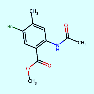 COC(=O)c1cc(Br)c(C)cc1NC(C)=O